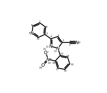 N#Cc1cc(-c2cccnc2)nn1-c1ccccc1[N+](=O)[O-]